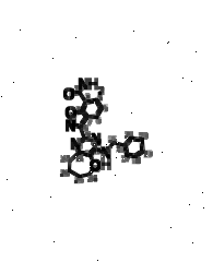 NC(=O)c1cccc2c(-c3nc4c(c(NCc5ccccc5)n3)OCCCC4)noc12